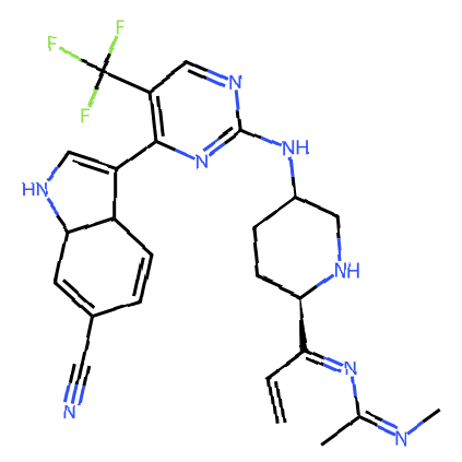 C=C/C(=N\C(C)=N/C)[C@H]1CCC(Nc2ncc(C(F)(F)F)c(C3=CNC4C=C(C#N)C=CC34)n2)CN1